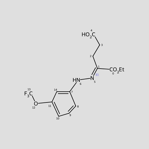 CCOC(=O)/C(CCC(=O)O)=N/Nc1cccc(OC(F)(F)F)c1